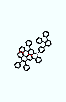 c1ccc(-c2ccc(N(c3ccc(-c4cccc(-c5ccccc5)c4-c4ccccc4)cc3)c3ccccc3-c3ccc4c(c3)c(-c3ccccc3)c(-c3ccccc3)c3ccccc34)cc2-c2ccccc2)cc1